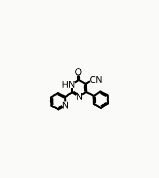 N#Cc1c(-c2ccccc2)nc(-c2ccccn2)[nH]c1=O